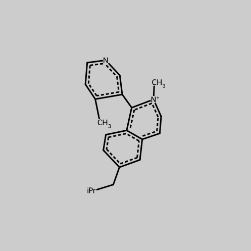 Cc1ccncc1-c1c2ccc(CC(C)C)cc2cc[n+]1C